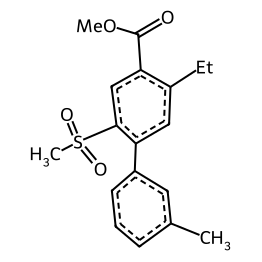 CCc1cc(-c2cccc(C)c2)c(S(C)(=O)=O)cc1C(=O)OC